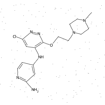 CN1CCN(CCOc2nnc(Cl)cc2Nc2ccnc(N)c2)CC1